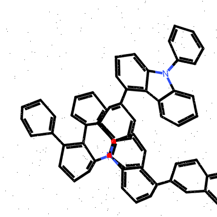 c1ccc(-c2ccccc2-c2c(-c3ccccc3)cccc2N(c2ccc(-c3cccc4c3c3ccccc3n4-c3ccccc3)cc2)c2cccc(-c3ccc4ccccc4c3)c2)cc1